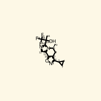 C[C@H]1Cc2c(C3CC3)noc2-c2cnc(C(C)(O)C(F)(F)F)n21